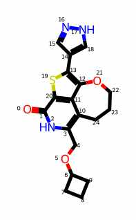 O=c1[nH]c(COC2CCC2)c2c3c(c(-c4cn[nH]c4)sc13)OCCC2